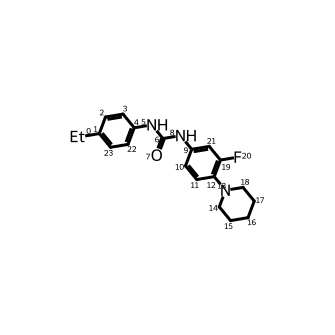 CCc1ccc(NC(=O)Nc2ccc(N3CCCCC3)c(F)c2)cc1